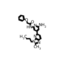 CCCCn1c(C)nc2ccc(-c3cc(N)nc(NC(=O)COc4ccccc4)c3)nc21